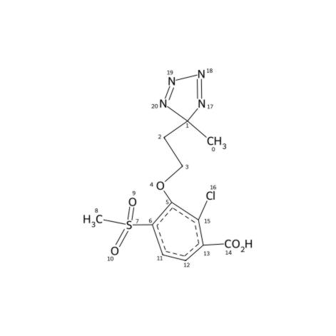 CC1(CCOc2c(S(C)(=O)=O)ccc(C(=O)O)c2Cl)N=NN=N1